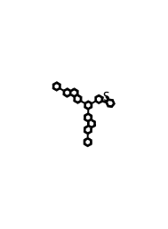 c1ccc(-c2ccc3c(ccc4cc(-c5cc(-c6ccc7c(ccc8cc(-c9ccccc9)ccc87)c6)cc(-c6ccc7sc8ccccc8c7c6)c5)ccc43)c2)cc1